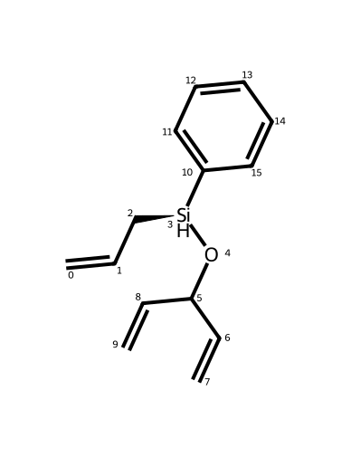 C=CC[Si@H](OC(C=C)C=C)c1ccccc1